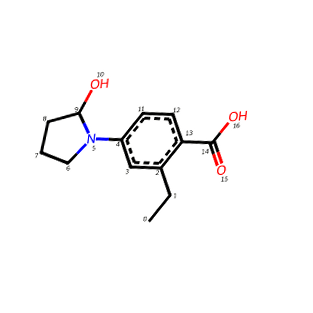 CCc1cc(N2CCCC2O)ccc1C(=O)O